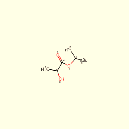 CCCCC(CCC)OC(=O)C(C)O